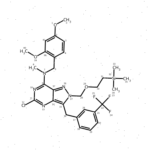 COc1ccc(CN(C)c2nc(Cl)nc3c(Cc4cccc(C(F)(F)F)c4)n(COCC[Si](C)(C)C)nc23)c(OC)c1